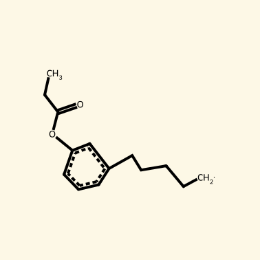 [CH2]CCCCc1cccc(OC(=O)CC)c1